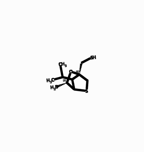 B[C@@H]1O[C@@]2(CS)CSC1C2C(C)C